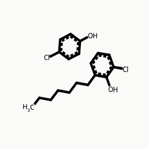 CCCCCCCc1cccc(Cl)c1O.Oc1ccc(Cl)cc1